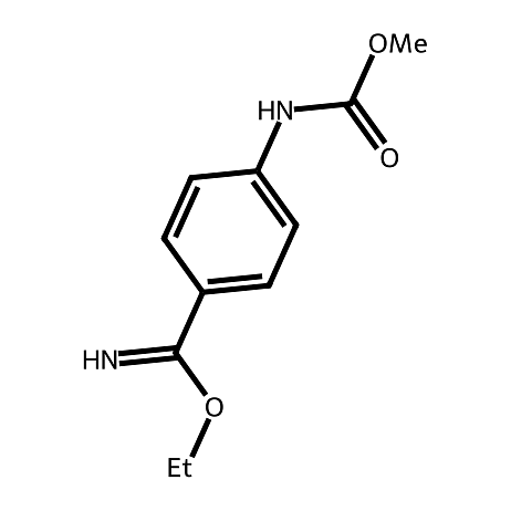 CCOC(=N)c1ccc(NC(=O)OC)cc1